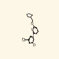 Clc1[c]c(Cl)cc(-c2cccc(OCC3CCCC3)n2)c1